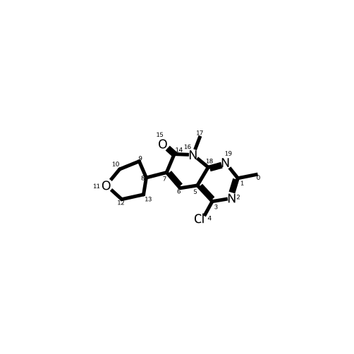 Cc1nc(Cl)c2cc(C3CCOCC3)c(=O)n(C)c2n1